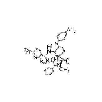 CC(C)c1ccc2c(Nc3cc(C(=O)N(C)C(C)c4ccccc4)ccc3Sc3ccc(N)cc3)ncnc2n1